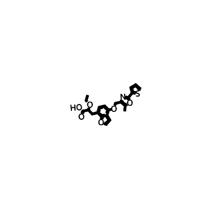 CCOC(Cc1ccc(OCc2nc(-c3cccs3)oc2C)c2ccoc12)C(=O)O